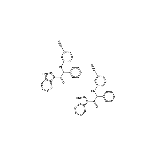 N#Cc1cccc(NC(C(=O)c2c[nH]c3ccccc23)c2ccccc2)c1.N#Cc1cccc(NC(C(=O)c2c[nH]c3ccccc23)c2ccccc2)c1